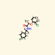 CC/C=C\C(OC(CC)C(=O)NC(C)(C)c1ccc(F)cc1)=C(\Cl)CC